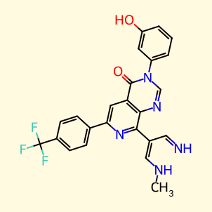 CN/C=C(\C=N)c1nc(-c2ccc(C(F)(F)F)cc2)cc2c(=O)n(-c3cccc(O)c3)cnc12